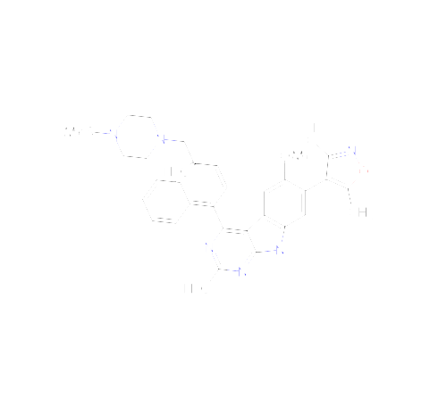 C=C(/C=C\C(=C1\C=CC=CC1)c1nc(C)nc2[nH]c3cc(-c4c(C)noc4C)c(OC)cc3c12)CN1CCN(SC)CC1